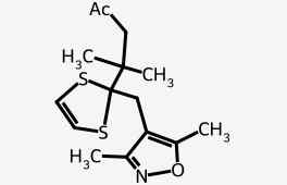 CC(=O)CC(C)(C)C1(Cc2c(C)noc2C)SC=CS1